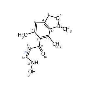 CB1OCc2cc(C)c(C(=O)/N=C\NO)c(C)c21